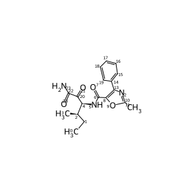 CC[C@@H](C)[C@H](NC(=O)c1oc(C)nc1-c1ccccc1)C(=O)C(N)=O